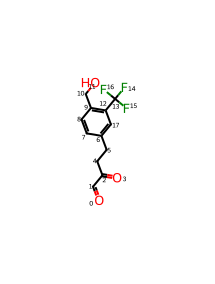 O=CC(=O)CCc1ccc(CO)c(C(F)(F)F)c1